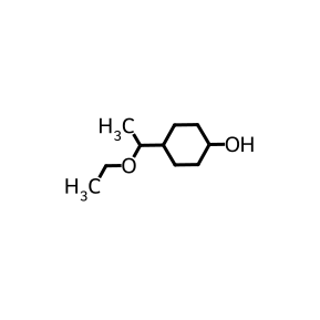 CCOC(C)C1CCC(O)CC1